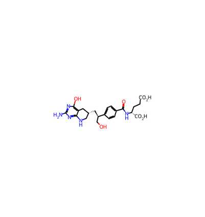 Nc1nc(O)c2c(n1)NC[C@@H](C[C@H](CO)c1ccc(C(=O)N[C@H](CCC(=O)O)C(=O)O)cc1)C2